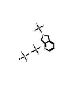 F[B-](F)(F)F.F[B-](F)(F)F.F[B-](F)(F)F.c1cnc2c(c1)COC2